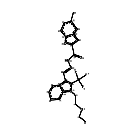 CCOCCn1c(C(F)(F)F)c(/C=N/NC(=O)c2cc3cc(C)ccc3o2)c2ccccc21